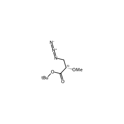 CO[C@@H](CN=[N+]=[N-])C(=O)OC(C)(C)C